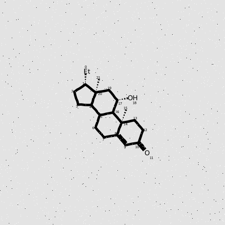 CC[C@H]1CCC2C3CCC4=CC(=O)CC[C@]4(C)C3[C@@H](O)C[C@@]21C